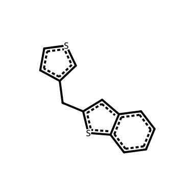 c1ccc2sc(Cc3ccsc3)cc2c1